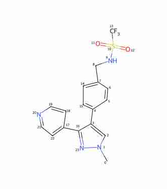 Cn1cc(-c2ccc(CNS(=O)(=O)C(F)(F)F)cc2)c(-c2ccncc2)n1